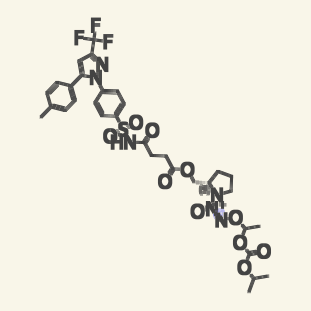 Cc1ccc(-c2cc(C(F)(F)F)nn2-c2ccc(S(=O)(=O)NC(=O)CCC(=O)OC[C@@H]3CCCN3/[N+]([O-])=N\OC(C)OC(=O)OC(C)C)cc2)cc1